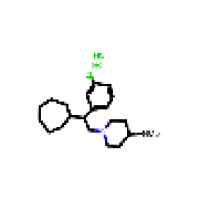 CNC1CCN(CC(c2cccc(Cl)c2)C2CCCCCC2)CC1.Cl.Cl